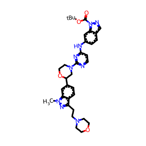 Cn1nc(CCN2CCOCC2)c2ccc(C3CN(c4nccc(Nc5ccc6cnn(C(=O)OC(C)(C)C)c6c5)n4)CCO3)cc21